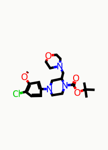 COc1cc(N2CCN(C(=O)OC(C)(C)C)C(CN3CCOCC3)C2)ccc1Cl